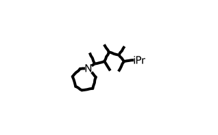 CC(C)C(C)C(C)C(C)C(C)C(C)N1CCCCCC1